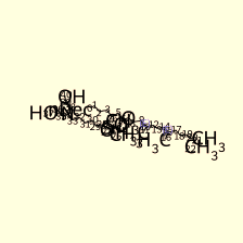 CCCCCCCCCCCCCCCC(OC/C=C(\C)CC/C=C(\C)CCC=C(C)C)O[Si](C)(C)OCCCCCCN(CCO)CCO